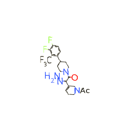 CC(=O)N1CCC=C(C(=NN)C(=O)N2CCC(c3ccc(F)c(F)c3C(F)(F)F)CC2)C1